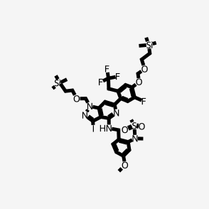 COc1ccc(CNc2nc(-c3cc(F)c(OCOCC[Si](C)(C)C)cc3CC(F)(F)F)cc3c2c(I)nn3COCC[Si](C)(C)C)c(N(C)S(C)(=O)=O)c1